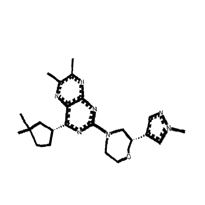 Cc1nc2nc(N3CCO[C@@H](c4cnn(C)c4)C3)nc([C@@H]3CCC(C)(C)C3)c2nc1C